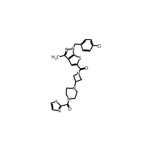 Cc1nn(Cc2ccc(Cl)cc2)c2sc(C(=O)N3CC(N4CCN(C(=O)c5nccs5)CC4)C3)cc12